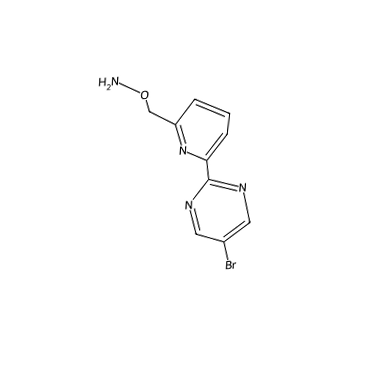 NOCc1cccc(-c2ncc(Br)cn2)n1